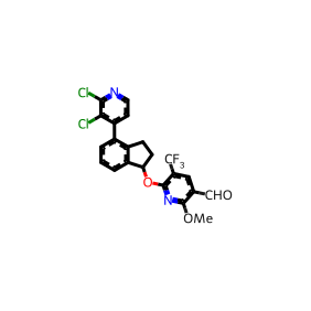 COc1nc(OC2CCc3c(-c4ccnc(Cl)c4Cl)cccc32)c(C(F)(F)F)cc1C=O